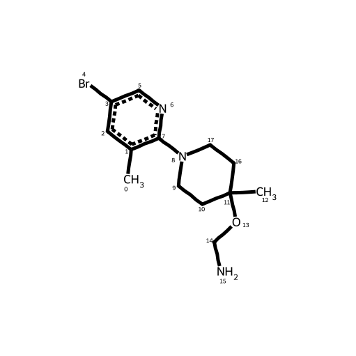 Cc1cc(Br)cnc1N1CCC(C)(OCN)CC1